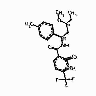 CC[C@@H](C[C@@H](NC(=O)c1ccc(C(F)(F)F)[nH]c1=O)c1ccc(C)cc1)OC